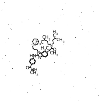 CNC(=O)c1ccc(Nc2nc3ccc(C(C)(C)C(=O)N(CCC(C)C)CCC(C)C)cc3n2CCCN2CCCCC2)cc1